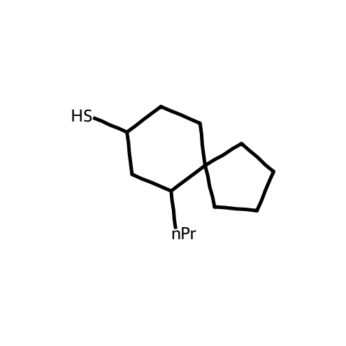 CCCC1CC(S)CCC12CCCC2